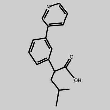 CC(C)CC(C(=O)O)c1cccc(-c2cccnc2)c1